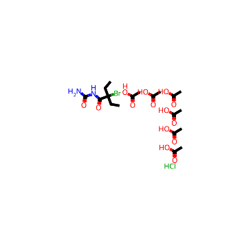 CC(=O)O.CC(=O)O.CC(=O)O.CC(=O)O.CC(=O)O.CC(=O)O.CCC(Br)(CC)C(=O)NC(N)=O.Cl